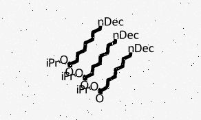 CCCCCCCCCCCCCCCCCC(=O)OC(C)C.CCCCCCCCCCCCCCCCCC(=O)OC(C)C.CCCCCCCCCCCCCCCCCC(=O)OC(C)C